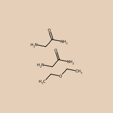 CCOCC.NCC(N)=O.NCC(N)=O